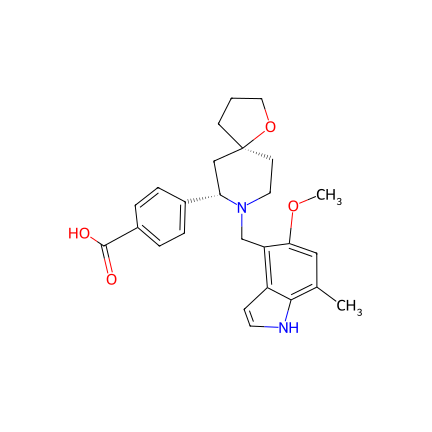 COc1cc(C)c2[nH]ccc2c1CN1CC[C@@]2(CCCO2)C[C@H]1c1ccc(C(=O)O)cc1